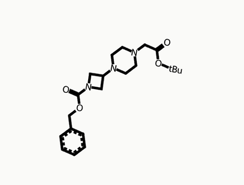 CC(C)(C)OC(=O)CN1CCN(C2CN(C(=O)OCc3ccccc3)C2)CC1